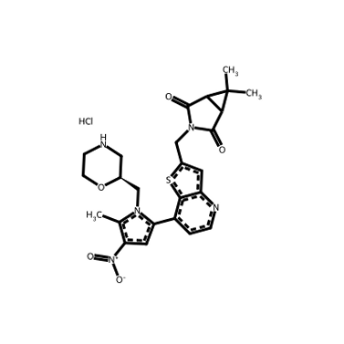 Cc1c([N+](=O)[O-])cc(-c2ccnc3cc(CN4C(=O)C5C(C4=O)C5(C)C)sc23)n1C[C@@H]1CNCCO1.Cl